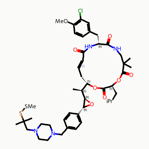 COc1ccc(C[C@H]2NC(=O)/C=C/C[C@@H]([C@H](C)[C@H]3O[C@@H]3c3ccc(CN4CCN(CC(C)(C)SSC)CC4)cc3)OC(=O)[C@H](CC(C)C)OC(=O)C(C)(C)CNC2=O)cc1Cl